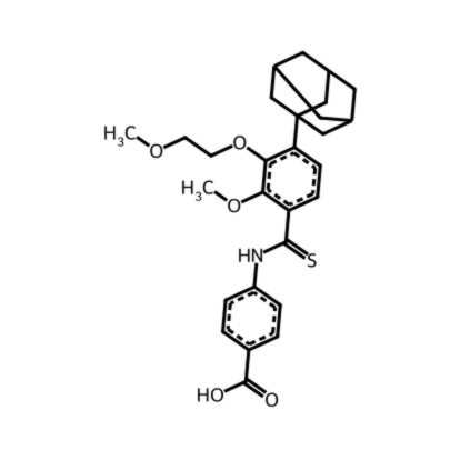 COCCOc1c(C23CC4CC(CC(C4)C2)C3)ccc(C(=S)Nc2ccc(C(=O)O)cc2)c1OC